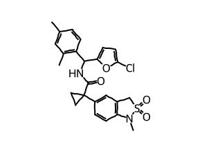 Cc1ccc(C(NC(=O)C2(c3ccc4c(c3)CS(=O)(=O)N4C)CC2)c2ccc(Cl)o2)c(C)c1